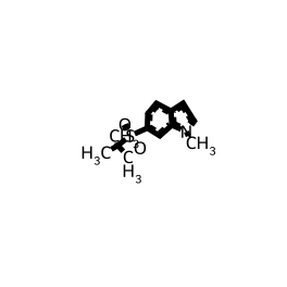 Cn1ccc2ccc(S(=O)(=O)C(C)(C)C)cc21